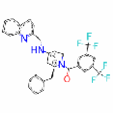 O=C(c1cc(C(F)(F)F)cc(C(F)(F)F)c1)N1CC[C@H](NCc2ccc3ccccc3n2)C[C@@H]1Cc1ccccc1